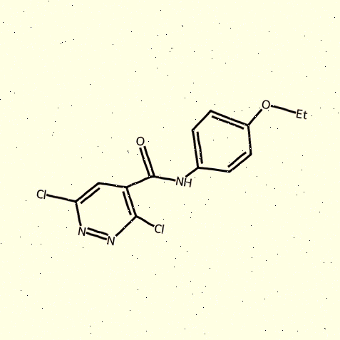 CCOc1ccc(NC(=O)c2cc(Cl)nnc2Cl)cc1